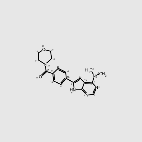 CN(C)c1ncnc2[nH]c(-c3ccc(C(=O)N4CCOCC4)cc3)cc12